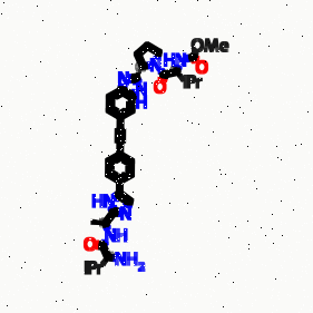 COC(=O)N[C@H](C(=O)N1CCC[C@H]1c1nc2ccc(C#Cc3ccc(-c4cnc([C@H](C)NC(=O)[C@@H](N)C(C)C)[nH]4)cc3)cc2[nH]1)C(C)C